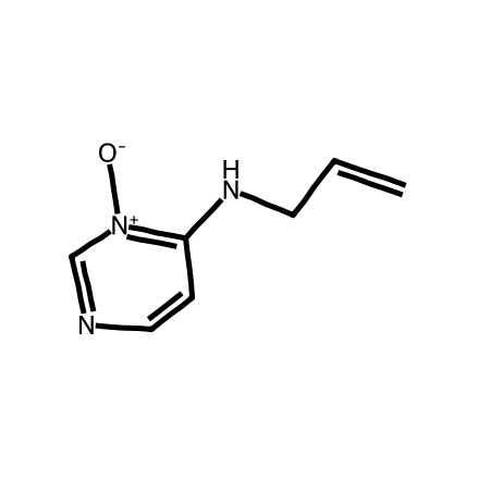 C=CCNc1ccnc[n+]1[O-]